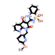 CCOc1cccc(Cn2c(=O)c(C3=NS(O)(O)c4ccccc4N3)c(O)c3cccnc32)n1